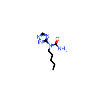 CCCCCN(C(N)=O)c1ncn[nH]1